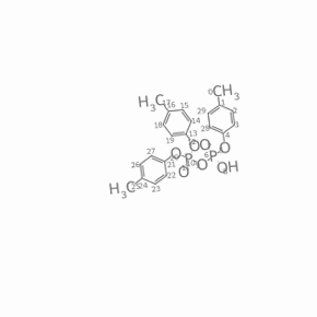 Cc1ccc(OP(=O)(O)OP(=O)(Oc2ccc(C)cc2)Oc2ccc(C)cc2)cc1